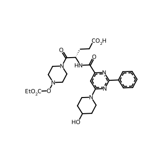 CCOC(=O)ON1CCN(C(=O)[C@H](CCC(=O)O)NC(=O)c2cc(N3CCC(O)CC3)nc(-c3ccccc3)n2)CC1